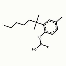 CCCCCC(C)(C)c1cc(C)ccc1OP(O)F